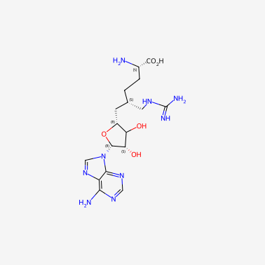 N=C(N)NC[C@@H](CC[C@H](N)C(=O)O)C[C@H]1O[C@@H](n2cnc3c(N)ncnc32)[C@@H](O)C1O